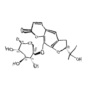 CC[C@H]1O[C@@H](Oc2c3c(cc4ccc(=O)oc24)C[C@H](C(C)(C)O)O3)[C@H](O)[C@@H](O)[C@@H]1O